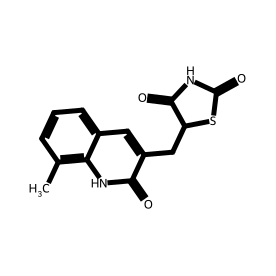 Cc1cccc2cc(CC3SC(=O)NC3=O)c(=O)[nH]c12